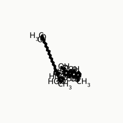 COC(=O)CCCCCCCCCCCCCCCCCOC(=O)N[C@H]1C[C@H](O[C@H]2C[C@](O)(C(=O)CO)Cc3c(O)c4c(c(O)c32)C(=O)c2c(OC)cccc2C4=O)O[C@@H](C)[C@H]1O